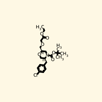 CCOC(=O)COC[C@H]1CN(C(=O)OC(C)(C)C)[C@@H](Cc2ccc(Cl)cc2)CO1